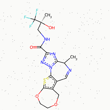 CC1N=Cc2c(sc3c2COCCO3)-n2nc(C(=O)NC[C@](C)(O)C(F)(F)F)nc21